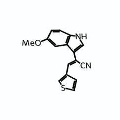 COc1ccc2[nH]cc(C(C#N)=Cc3ccsc3)c2c1